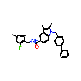 Cc1ccc(CNC(=O)c2ccc3c(c2)c(C)c(C)n3Cc2ccc(-c3ccccc3)cc2)c(F)c1